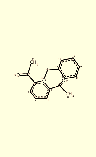 CC(=O)c1cccc(C(C)=O)[n+]1Cc1ccccc1